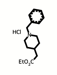 CCOC(=O)CC1CCN(Cc2ccccc2)CC1.Cl